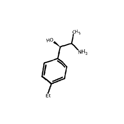 CCc1ccc([C@@H](O)C(C)N)cc1